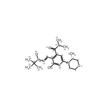 C[C@@H]1COCCN1c1cc(C(=O)N(C)C)c(/C=N/[S+]([O-])C(C)(C)C)c(Cl)n1